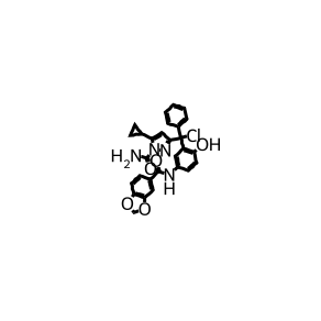 NC(=O)n1nc(C(Cl)(c2ccccc2)c2cc(NC(=O)c3ccc4c(c3)OCO4)ccc2O)cc1C1CC1